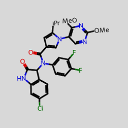 COc1ncc(-n2cc(C(=O)N(c3ccc(F)c(F)c3)C3C(=O)Nc4cc(Cl)ccc43)cc2C(C)C)c(OC)n1